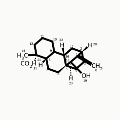 C=C1[C@H]2CC[C@@]3(CC[C@H]4C(CCC[C@@]4(C)C(=O)O)[C@@H]3C2)[C@@H]1O